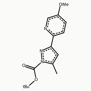 COc1ccc(-c2cc(C)n(C(=O)OC(C)(C)C)n2)nc1